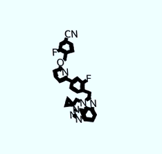 N#Cc1ccc(COc2cccc(-c3ccc(Cc4nc5ccccc5n4CC4(n5ccnn5)CC4)c(F)c3)n2)c(F)c1